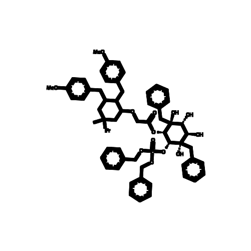 COc1ccc(CC2CC(C)(C(C)C)CC(OCC(=O)O[C@H]3[C@@H](OP(=O)(OCc4ccccc4)OCc4ccccc4)[C@](O)(Cc4ccccc4)[C@H](O)[C@@H](O)[C@@]3(O)Cc3ccccc3)C2Cc2ccc(OC)cc2)cc1